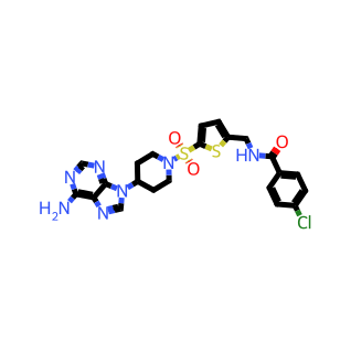 Nc1ncnc2c1ncn2C1CCN(S(=O)(=O)c2ccc(CNC(=O)c3ccc(Cl)cc3)s2)CC1